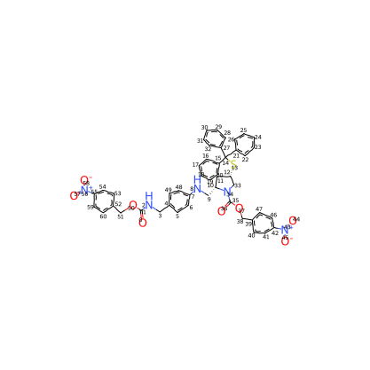 O=C(NCc1ccc(NC[C@@H]2C[C@H](SC(c3ccccc3)(c3ccccc3)c3ccccc3)CN2C(=O)OCc2ccc([N+](=O)[O-])cc2)cc1)OCc1ccc([N+](=O)[O-])cc1